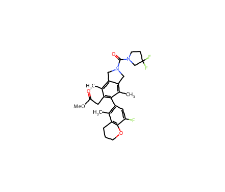 COC(=O)Cc1c(C)c2c(c(C)c1-c1cc(F)c3c(c1C)CCCO3)CN(C(=O)N1CCC(F)(F)C1)C2